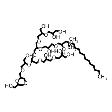 CCCCCCCCCCCC[N+](C)(C)CC(O)COCC(O)COC(COCC(CO)OCC(O)CO)COCC(COCC(O)COCC(O)CO)OC(CO)COCC1COCC(CO)O1